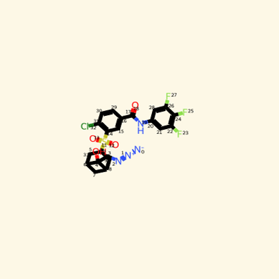 [N-]=[N+]=NCC1(O)C2CC1CC(S(=O)(=O)c1cc(C(=O)Nc3cc(F)c(F)c(F)c3)ccc1Cl)C2